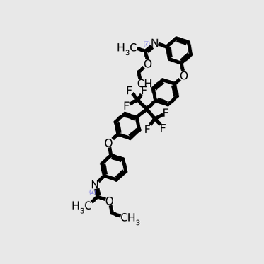 CCO/C(C)=N\c1cccc(Oc2ccc(C(c3ccc(Oc4cccc(/N=C(/C)OCC)c4)cc3)(C(F)(F)F)C(F)(F)F)cc2)c1